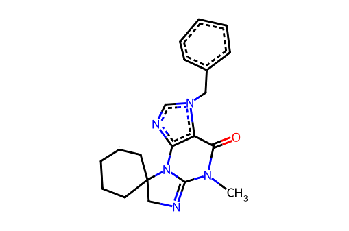 CN1C(=O)c2c(ncn2Cc2ccccc2)N2C1=NCC21C[CH]CCC1